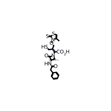 Cc1csc(=S)n1OC/C(CS)=C(\C(=O)O)N1C(=O)[C@@H](NC(=O)Cc2ccccc2)[C@H]1C